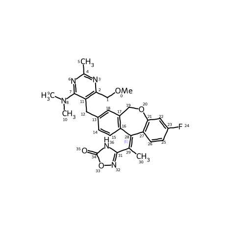 COCc1nc(C)nc(N(C)C)c1Cc1ccc2c(c1)COc1cc(F)ccc1/C2=C(\C)c1noc(=O)[nH]1